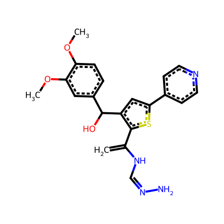 C=C(N/C=N\N)c1sc(-c2ccncc2)cc1C(O)c1ccc(OC)c(OC)c1